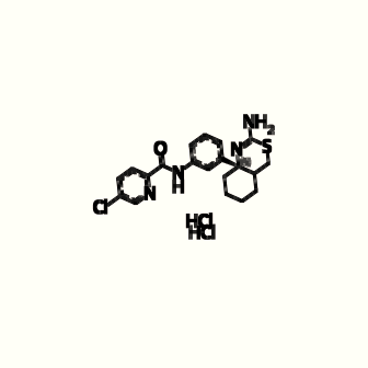 Cl.Cl.NC1=N[C@@]2(c3cccc(NC(=O)c4ccc(Cl)cn4)c3)CCCCC2CS1